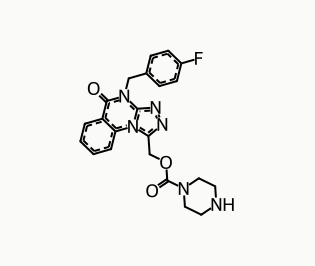 O=C(OCc1nnc2n(Cc3ccc(F)cc3)c(=O)c3ccccc3n12)N1CCNCC1